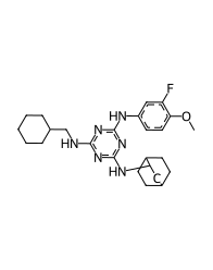 COc1ccc(Nc2nc(NCC3CCCCC3)nc(NC3CC4CCC3CC4)n2)cc1F